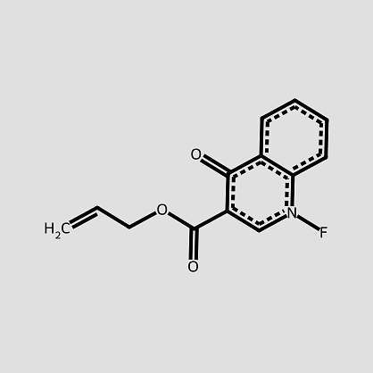 C=CCOC(=O)c1cn(F)c2ccccc2c1=O